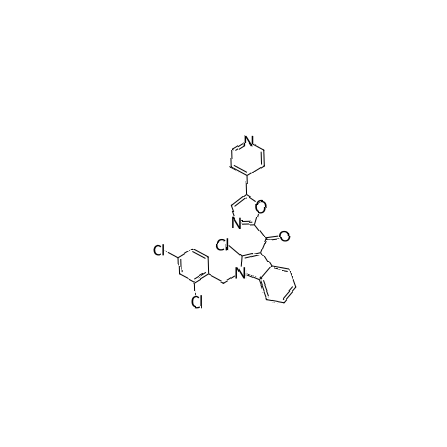 O=C(c1ncc(-c2ccncc2)o1)c1c(Cl)n(Cc2ccc(Cl)cc2Cl)c2ccccc12